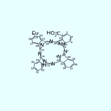 O=C(O)c1cccc2c3nc4nc(nc5[nH]c(nc6nc(nc([nH]3)c12)-c1ccccc1-6)c1ccccc51)-c1ccccc1-4.[Cu]